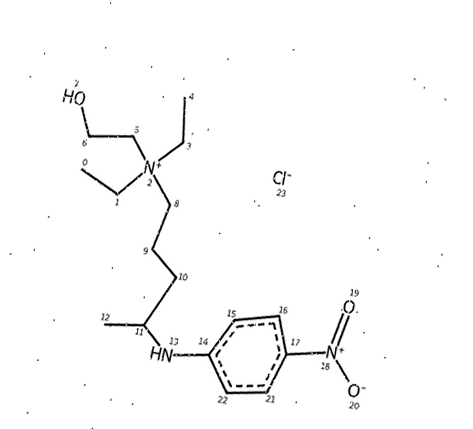 CC[N+](CC)(CCO)CCCC(C)Nc1ccc([N+](=O)[O-])cc1.[Cl-]